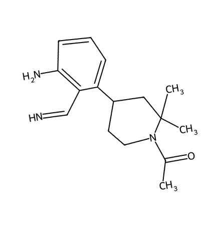 CC(=O)N1CCC(c2cccc(N)c2C=N)CC1(C)C